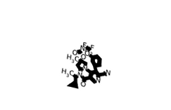 CC(NC(=O)c1cnc(C#N)c(-c2cccc(OC(F)F)c2)c1N1CC[C@](C)(OC(N)=O)C1)C1CC1